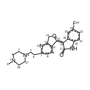 CN1CCN(CCc2ccc3c(n2)CO/C3=C2/C(=O)Nc3ccc(F)cc32)CC1